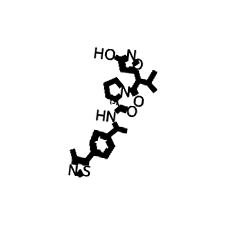 Cc1ncsc1-c1ccc(C(C)NC(=O)[C@@H]2CCCN2C(=O)C(c2cc(O)no2)C(C)C)cc1